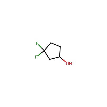 OC1CCC(F)(F)C1